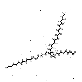 CCCCCCCCCCCCCCCCCCn1cc[n+](CCCCCCCCC)c1CCCCCCCCCCCCCCCC